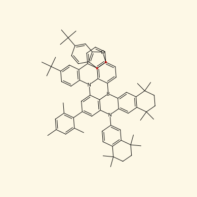 Cc1cc(C)c(-c2cc3c4c(c2)N(c2ccc(C(C)(C)C)cc2-c2ccccc2)c2c(ccc5oc6cc(C(C)(C)C)ccc6c25)B4c2cc4c(cc2N3c2ccc3c(c2)C(C)(C)CCC3(C)C)C(C)(C)CCC4(C)C)c(C)c1